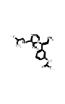 C=C1C(NCC(C)C)=NC=CN1/C(=C\C)c1cccc(NC(C)=O)c1